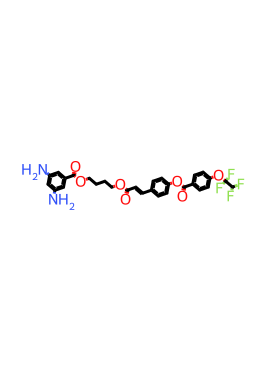 Nc1cc(N)cc(C(=O)OCCCCOC(=O)C=Cc2ccc(OC(=O)c3ccc(OC(F)(F)C(F)F)cc3)cc2)c1